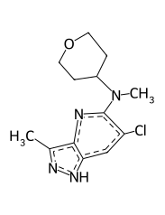 Cc1n[nH]c2cc(Cl)c(N(C)C3CCOCC3)nc12